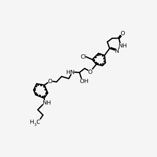 CCCNc1cccc(OCCCNC(O)COc2ccc(C3=NNC(=O)CC3)cc2Cl)c1